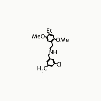 CCc1cc(OC)c(CCNCc2cc(C)cc(Cl)c2)cc1OC